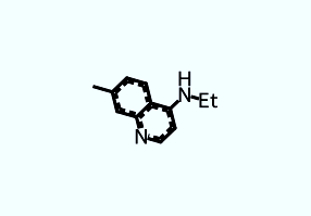 CCNc1ccnc2cc(C)ccc12